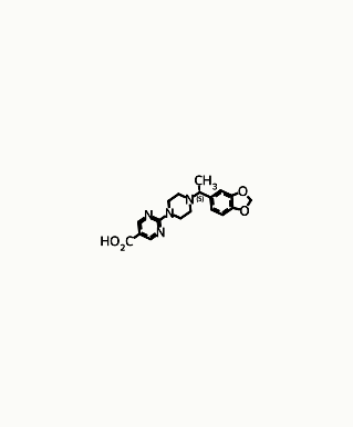 C[C@@H](c1ccc2c(c1)OCO2)N1CCN(c2ncc(C(=O)O)cn2)CC1